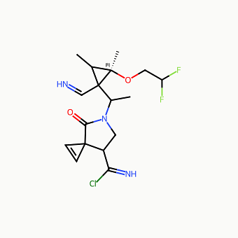 CC(N1CC(C(=N)Cl)C2(C=C2)C1=O)C1(C=N)C(C)[C@@]1(C)OCC(F)F